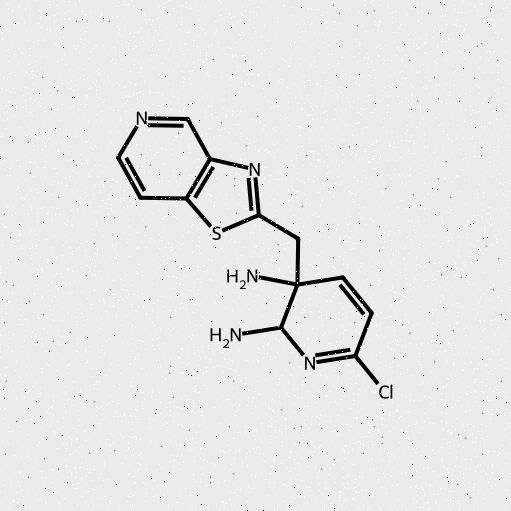 NC1N=C(Cl)C=CC1(N)Cc1nc2cnccc2s1